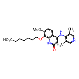 COc1ccc2c(Nc3c(C)cncc3C)cc(=O)[nH]c2c1OCCCCCCC(=O)O